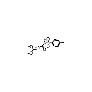 COC(CNC(=O)NS(=O)(=O)c1ccc(C)cc1)OC